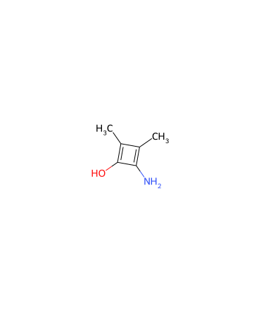 CC1=C(N)C(O)=C1C